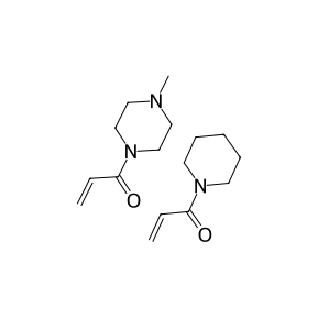 C=CC(=O)N1CCCCC1.C=CC(=O)N1CCN(C)CC1